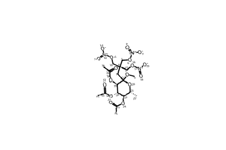 COC1(CC(CO[N+](=O)[O-])(CO[N+](=O)[O-])CO[N+](=O)[O-])O[C@H](C)[C@@H](OC(C)=O)[C@H](OC(C)=O)[C@H]1OC(C)=O